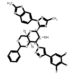 Cc1nc([C@@H]2O[C@@H]3COC(c4ccccc4)O[C@@H]3[C@H](n3cc(-c4cc(F)c(F)c(F)c4)nn3)[C@H]2O)n(-c2ccc3nc(C)sc3c2)n1